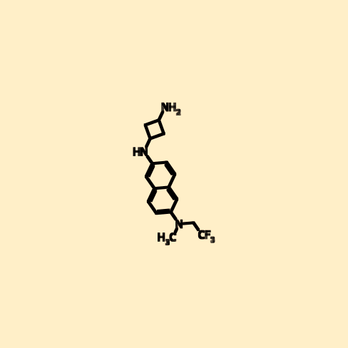 CN(CC(F)(F)F)c1ccc2cc(NC3CC(N)C3)ccc2c1